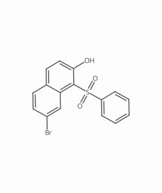 O=S(=O)(c1ccccc1)c1c(O)ccc2ccc(Br)cc12